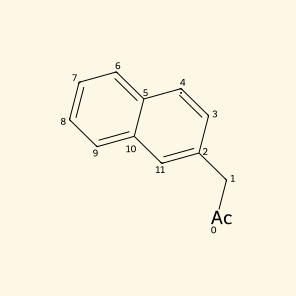 CC(=O)Cc1c[c]c2ccccc2c1